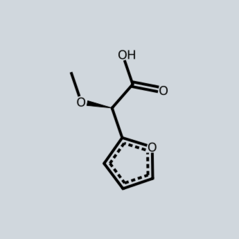 CO[C@@H](C(=O)O)c1ccco1